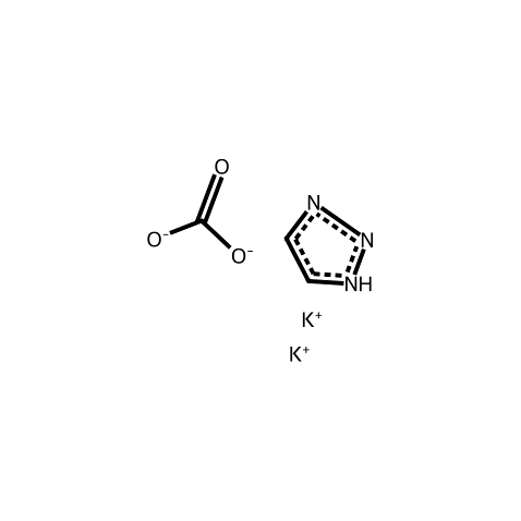 O=C([O-])[O-].[K+].[K+].c1c[nH]nn1